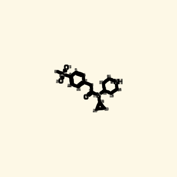 CS(=O)(=O)c1ccc(CC(=O)N(C2CCNCC2)C2CC2)cc1